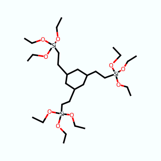 CCO[Si](CCC1CC(CC[Si](OCC)(OCC)OCC)CC(CC[Si](OCC)(OCC)OCC)C1)(OCC)OCC